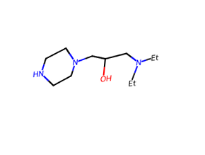 CCN(CC)CC(O)CN1CCNCC1